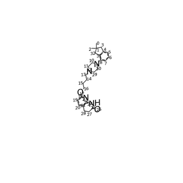 CC1(C)Cc2cccc(N3CCN(CCCCOc4ccc5c(n4)NC(=O)CC5)CC3)c2C1